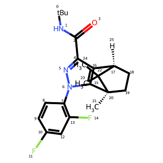 CC(C)(C)NC(=O)c1nn(-c2ccc(F)cc2F)c2c1[C@H]1CC[C@]2(C)C1(C)C